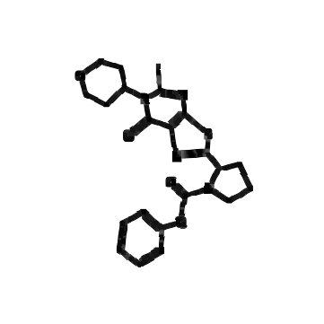 Cc1nc2sc(C3CCCN3C(=O)Oc3ccccc3)nc2c(=O)n1C1CCOCC1